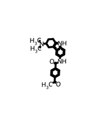 CC(=O)c1ccc(C(=O)Nc2ccc3[nH]c4c(c3c2)CC(N(C)C)CC4)cc1